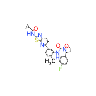 Cc1ccc(-c2ccc3nc(NC(=O)C4CC4)sc3n2)cc1NC(=O)N1OCCC1c1ccc(F)cc1